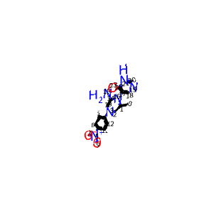 CC1CN(c2ccc([N+](=O)[O-])cc2)CC(N)N1c1cnc[nH]c1=O